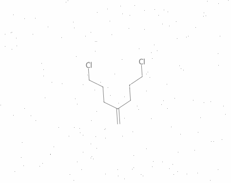 C=C(CCCCl)CCCCl